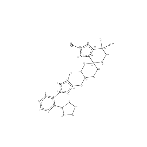 Cc1nn(-c2ncccc2C2CCCO2)cc1CN1CCC2(CC1)OCC(F)(F)c1cc(Cl)sc12